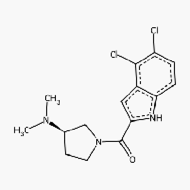 CN(C)[C@@H]1CCN(C(=O)c2cc3c(Cl)c(Cl)ccc3[nH]2)C1